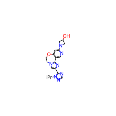 CC(C)n1ncnc1-c1cn2c(n1)-c1cnc(N3CC(O)C3)cc1OCC2